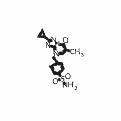 Cc1cn(Cc2ccc(S(N)(=O)=O)cc2)c2nc(C3CC3)nn2c1=O